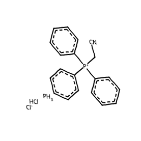 Cl.N#CC[P+](c1ccccc1)(c1ccccc1)c1ccccc1.P.[Cl-]